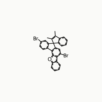 CC1=C(C)C2(c3ccccc31)c1cc(Br)ccc1-c1c2cc(Br)c2c1oc1ccccc12